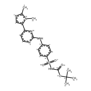 Cc1ncc(-c2ccnc(Nc3ccc(S(=O)(=O)NC(=O)OC(C)(C)C)cc3)n2)n1C